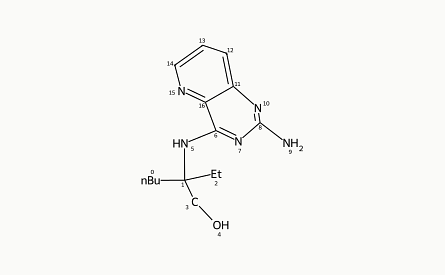 CCCCC(CC)(CO)Nc1nc(N)nc2cccnc12